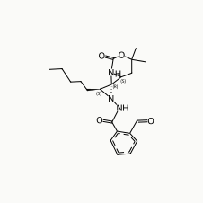 CCCCC[C@@H]1N(NC(=O)c2ccccc2C=O)[C@]12[C@@H]1CC(C)(C)OC(=O)N12